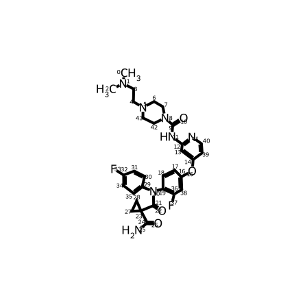 CN(C)CCN1CCN(C(=O)Nc2cc(Oc3ccc(N(C(=O)C4(C(N)=O)CC4)c4ccc(F)cc4)c(F)c3)ccn2)CC1